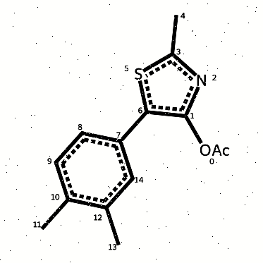 CC(=O)Oc1nc(C)sc1-c1ccc(C)c(C)c1